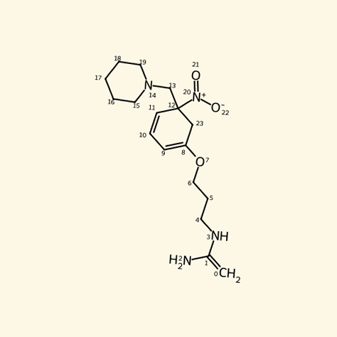 C=C(N)NCCCOC1=CC=CC(CN2CCCCC2)([N+](=O)[O-])C1